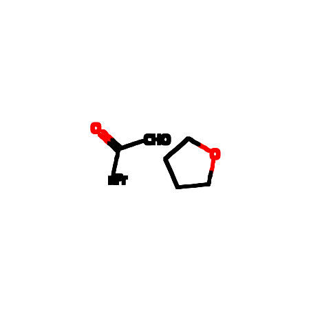 C1CCOC1.CCCC(=O)C=O